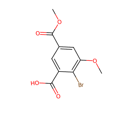 COC(=O)c1cc(OC)c(Br)c(C(=O)O)c1